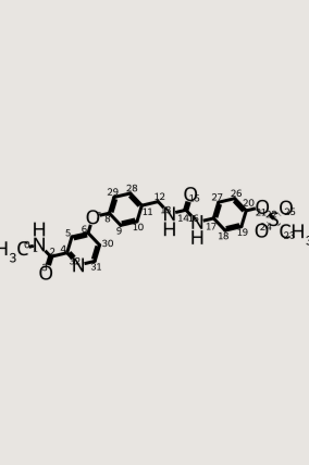 CNC(=O)c1cc(Oc2ccc(CNC(=O)Nc3ccc(OS(C)(=O)=O)cc3)cc2)ccn1